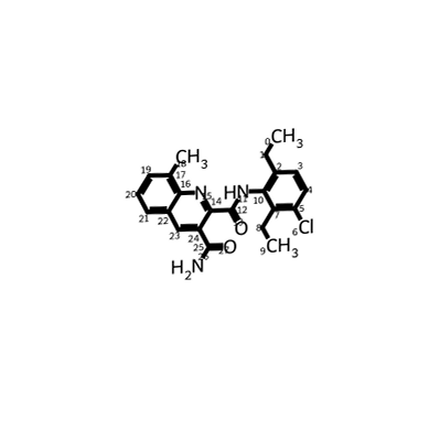 CCc1ccc(Cl)c(CC)c1NC(=O)c1nc2c(C)cccc2cc1C(N)=O